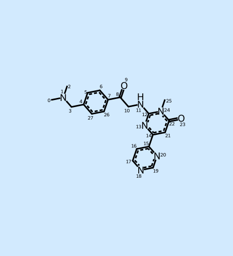 CN(C)Cc1ccc(C(=O)CNc2nc(-c3ccncn3)cc(=O)n2C)cc1